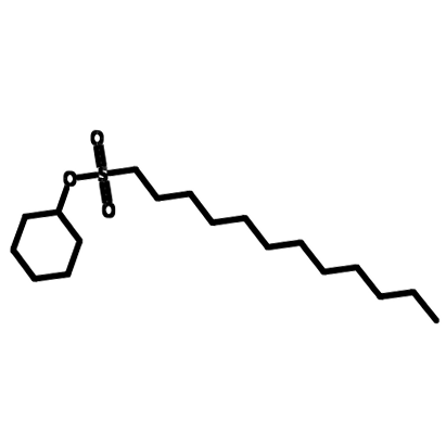 CCCCCCCCCCCCS(=O)(=O)OC1CCCCC1